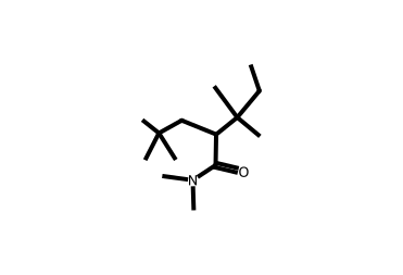 CCC(C)(C)C(CC(C)(C)C)C(=O)N(C)C